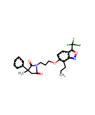 CCCc1c(OCCCN2C(=O)CC(C)(c3ccccc3)C2=O)ccc2c(C(F)(F)F)onc12